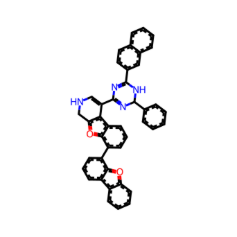 C1=C(C2=NC(c3ccccc3)NC(c3ccc4ccccc4c3)=N2)c2c(oc3c(-c4cccc5c4oc4ccccc45)cccc23)CN1